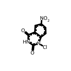 O=c1[nH]c(=O)n(Cl)c2ccc([N+](=O)[O-])cc12